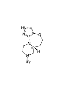 CC(C)N1CCN2c3n[nH]cc3OCC[C@@H]2C1